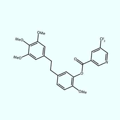 COc1ccc(CCc2cc(OC)c(OC)c(OC)c2)cc1OC(=O)c1cncc(C(F)(F)F)c1